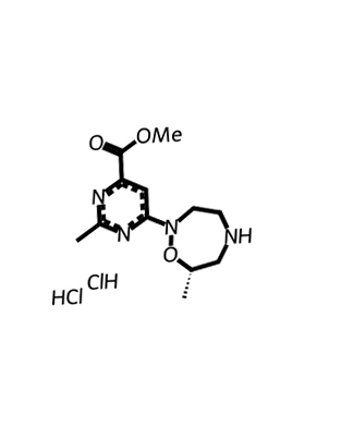 COC(=O)c1cc(N2CCNC[C@H](C)O2)nc(C)n1.Cl.Cl